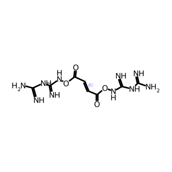 N=C(N)NC(=N)NOC(=O)/C=C/C(=O)ONC(=N)NC(=N)N